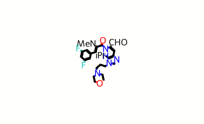 CN/C(=C\c1cc(F)cc(F)c1)C(=O)N/C(C=O)=C\c1ncn(CCCN2CCOCC2)c1C(C)C